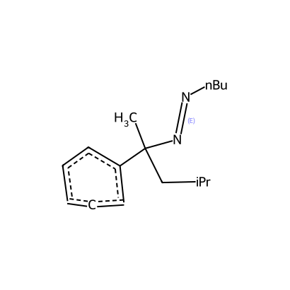 CCCC/N=N/C(C)(CC(C)C)c1ccccc1